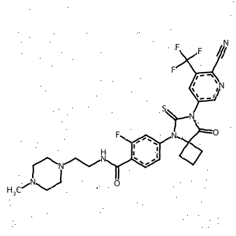 CN1CCN(CCNC(=O)c2ccc(N3C(=S)N(c4cnc(C#N)c(C(F)(F)F)c4)C(=O)C34CCC4)cc2F)CC1